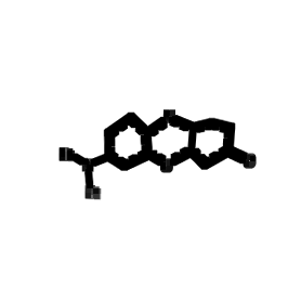 CCN(CC)c1ccc2nc3ccc(=O)cc-3oc2c1